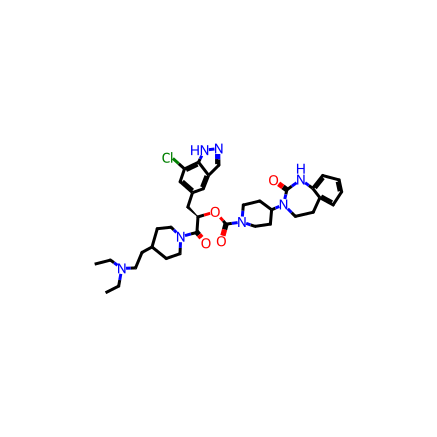 CCN(CC)CCC1CCN(C(=O)[C@@H](Cc2cc(Cl)c3[nH]ncc3c2)OC(=O)N2CCC(N3CCc4ccccc4NC3=O)CC2)CC1